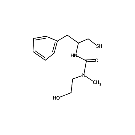 CN(CCO)C(=O)NC(CS)Cc1ccccc1